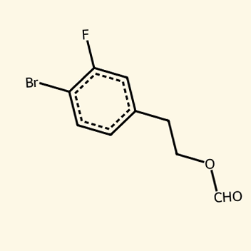 O=COCCc1ccc(Br)c(F)c1